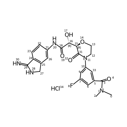 CN(C)C(=O)c1cc(F)cc(N2CCO[C@H]([C@@H](O)C(=O)Nc3ccc4c(c3)CNC4=N)C2=O)c1.Cl